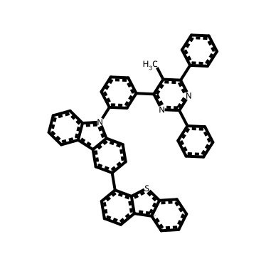 Cc1c(-c2ccccc2)nc(-c2ccccc2)nc1-c1cccc(-n2c3ccccc3c3cc(-c4cccc5c4sc4ccccc45)ccc32)c1